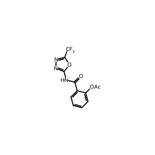 CC(=O)Oc1ccccc1C(=O)Nc1nnc(C(F)(F)F)o1